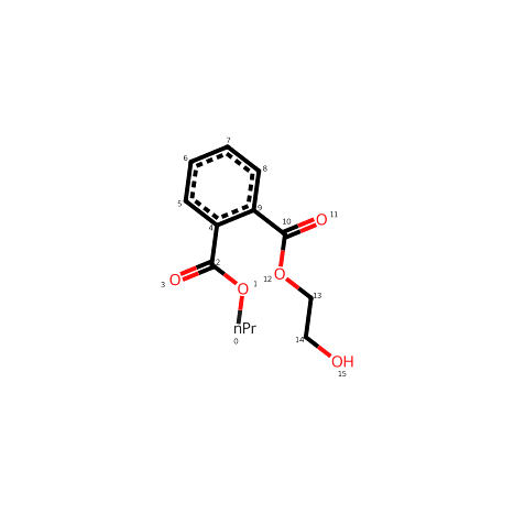 CCCOC(=O)c1ccccc1C(=O)OCCO